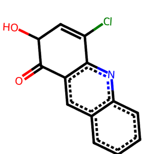 O=C1c2cc3ccccc3nc2C(Cl)=CC1O